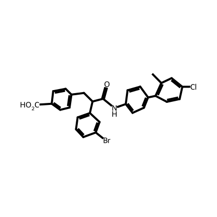 Cc1cc(Cl)ccc1-c1ccc(NC(=O)C(Cc2ccc(C(=O)O)cc2)c2cccc(Br)c2)cc1